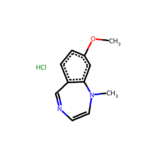 COc1ccc2c(c1)N(C)C=CN=C2.Cl